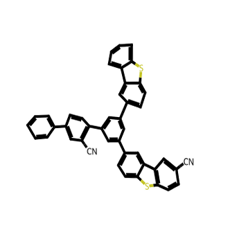 N#Cc1ccc2sc3ccc(-c4cc(-c5ccc6sc7ccccc7c6c5)cc(-c5ccc(-c6ccccc6)cc5C#N)c4)cc3c2c1